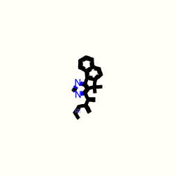 C=C(/C=C\C)C(=C)c1ncnc2c1C(C)(C)c1ccc3ccccc3c1-2